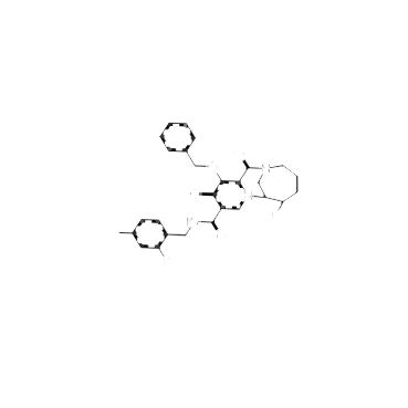 C[C@@]1(F)CCCN2CC1n1cc(C(=O)NCc3ccc(F)cc3F)c(=O)c(OCc3ccccc3)c1C2=O